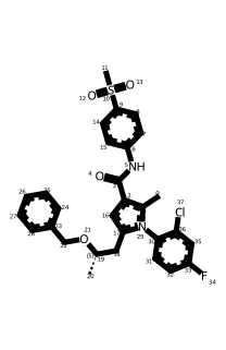 Cc1c(C(=O)Nc2ccc(S(C)(=O)=O)cc2)cc(C[C@H](C)OCc2ccccc2)n1-c1ccc(F)cc1Cl